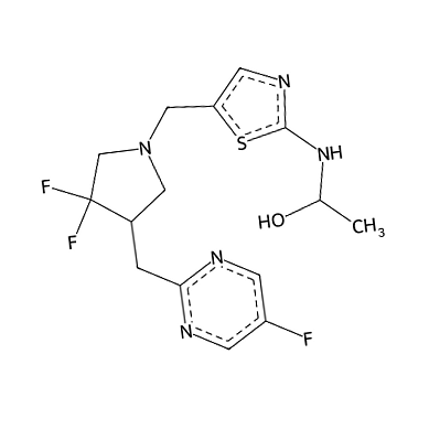 CC(O)Nc1ncc(CN2CC(Cc3ncc(F)cn3)C(F)(F)C2)s1